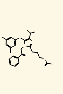 Cc1cc(C)cc(Sc2c(C(C)C)nc(CCCOC(N)=O)n2CC(=O)c2ccccc2)c1